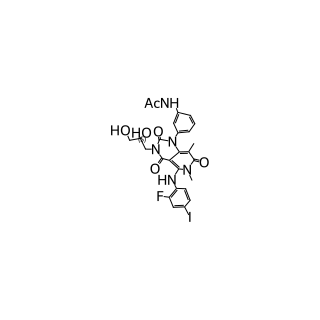 CC(=O)Nc1cccc(-n2c(=O)n(C[C@H](O)CO)c(=O)c3c(Nc4ccc(I)cc4F)n(C)c(=O)c(C)c32)c1